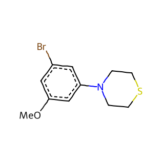 COc1cc(Br)cc(N2CCSCC2)c1